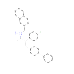 CC(NCc1ccc2ccccc2c1)C(Cc1ccc(-c2ccccc2)cc1)c1ccc(Cl)c(Cl)c1